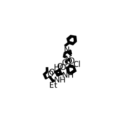 CC[C@@H](Nc1c(Nc2ccc(Cl)c(S(=O)(=O)N3CC4CC3CN4Cc3ccccc3)c2O)c(=O)c1=O)[C@H]1CCC(C)O1